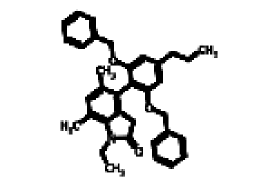 CCCc1cc(OCc2ccccc2)c(-c2c(C)cc(C)c3c2CC(=O)N3CC)c(OCc2ccccc2)c1